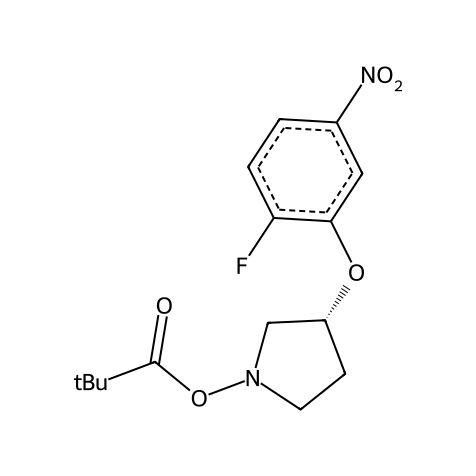 CC(C)(C)C(=O)ON1CC[C@@H](Oc2cc([N+](=O)[O-])ccc2F)C1